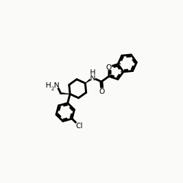 NC[C@]1(c2cccc(Cl)c2)CC[C@H](NC(=O)c2cc3ccccc3o2)CC1